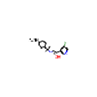 CC(=O)NC1CCC(C(C)(C)NC[C@H](O)c2cncc(F)c2)CC1